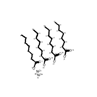 CCCCCCCC(=O)[O-].CCCCCCCC(=O)[O-].CCCCCCCC(=O)[O-].CCCCCCCC(=O)[O-].[Ni+2].[Ni+2]